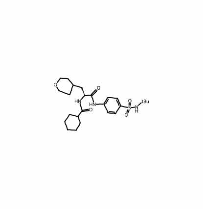 CC(C)(C)NS(=O)(=O)c1ccc(NC(=O)[C@H](CC2CCOCC2)NC(=O)C2CCCCC2)cc1